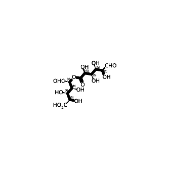 O=C[C@@H](O)[C@@H](O)[C@H](O)[C@H](O)C(=O)O[C@@H](C=O)[C@H](O)[C@@H](O)[C@H](O)C(=O)O